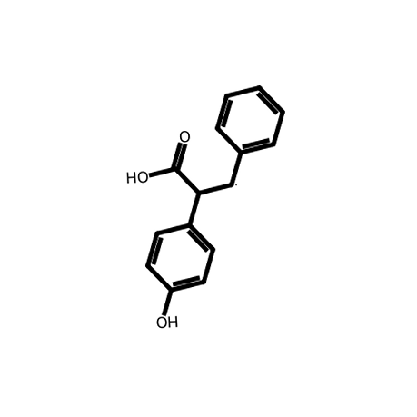 O=C(O)C([CH]c1ccccc1)c1ccc(O)cc1